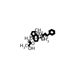 CC(C)[C@@]12C[C@@H](OC(=O)[C@H](C)O)[C@@](C)(O1)[C@@H]1CC[C@@H](C)[C@H]1[C@@H]2OC(=O)/C=C/c1ccccc1